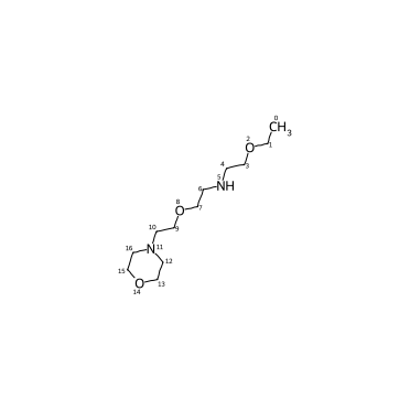 CCOCCNCCOCCN1CCOCC1